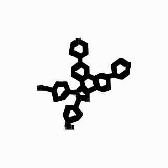 CC(C)(C)c1ccc(-c2nc3c4ccc(-c5ccncc5)cc4c4cc(-c5ccncc5)ccc4c3n2-c2ccc(C(C)(C)C)cc2)cc1